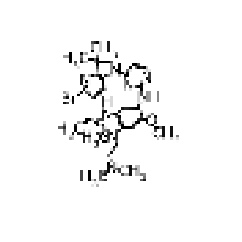 C=CC(=O)Nc1cc(Nc2nccc(N3CC(C)(C)c4nc(Br)ccc43)n2)c(OC)cc1N(C)CCN(C)C